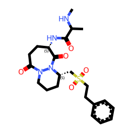 CNC(C)C(=O)N[C@H]1CCC(=O)N2CCC[C@@H](CS(=O)(=O)CCc3ccccc3)N2C1=O